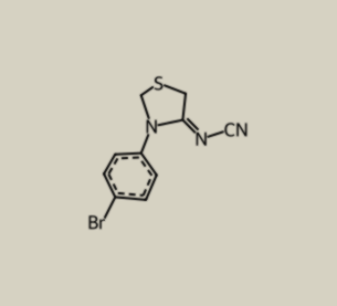 N#CN=C1CSCN1c1ccc(Br)cc1